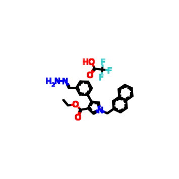 CCOC(=O)c1cn(Cc2ccc3ccccc3c2)cc1-c1cccc(C=NN)c1.O=C(O)C(F)(F)F